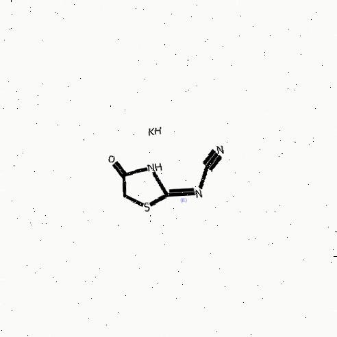 N#C/N=C1\NC(=O)CS1.[KH]